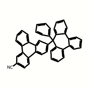 N#Cc1ccc2c3ccc(C4(c5ccccc5)c5ccccc5-c5ccccc5-c5ccccc54)cc3c3ccccc3c2c1